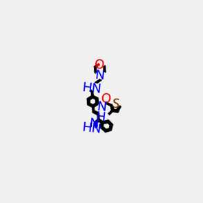 Cc1ccsc1C(=O)Nc1cc(CNCCN2CCOCC2)ccc1C=Cc1n[nH]c2ccccc12